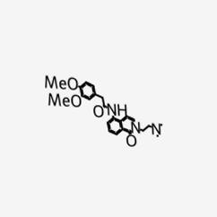 COc1ccc(CC(=O)Nc2cccc3c(=O)n(CCN(C)C)ccc23)cc1OC